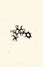 CC(OC(=O)c1ccccc1)C(NC(=O)OC(C)(C)C)C(=O)O